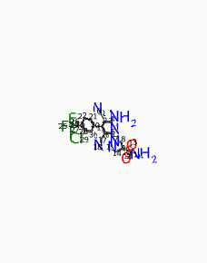 N#Cc1c(N)nc(-n2cc(S(N)(=O)=O)cn2)c(C#N)c1-c1ccc(C(F)(F)F)c(Cl)c1